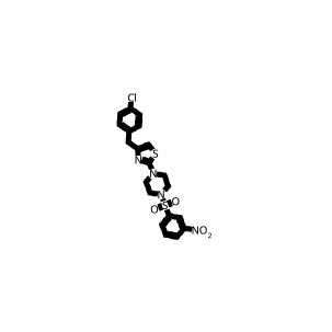 O=[N+]([O-])c1cccc(S(=O)(=O)N2CCN(c3nc(Cc4ccc(Cl)cc4)cs3)CC2)c1